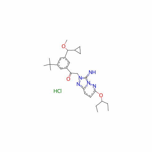 CCC(CC)Oc1ccc2nn(CC(=O)c3cc(C(OC)C4CC4)cc(C(C)(C)C)c3)c(=N)n2n1.Cl